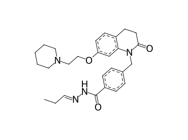 CCC=NNC(=O)c1ccc(CN2C(=O)CCc3ccc(OCCN4CCCCC4)cc32)cc1